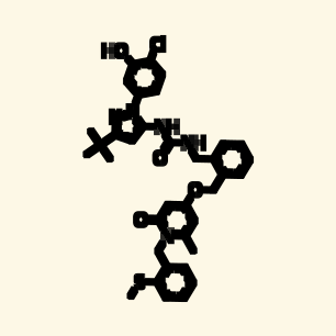 CSc1ccccc1Cn1c(C)cc(OCc2ccccc2CNC(=O)Nc2cc(C(C)(C)C)nn2-c2ccc(Cl)c(O)c2)cc1=O